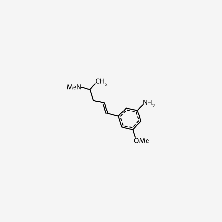 CNC(C)CC=Cc1cc(N)cc(OC)c1